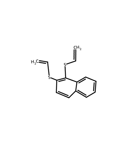 C=CSc1ccc2ccccc2c1SC=C